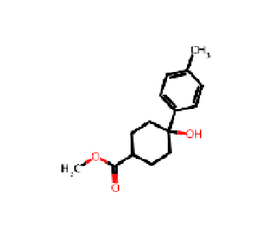 COC(=O)C1CCC(O)(c2ccc(C)cc2)CC1